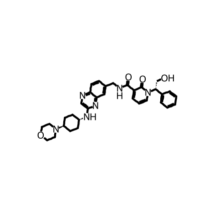 O=C(NCc1ccc2ncc(N[C@H]3CC[C@H](N4CCOCC4)CC3)nc2c1)c1cccn([C@H](CO)c2ccccc2)c1=O